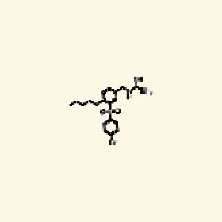 CCCCCc1ccc(CNC(=N)N)cc1S(=O)(=O)c1ccc(Br)cc1